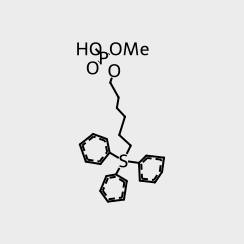 COP(=O)(O)OCCCCCCS(c1ccccc1)(c1ccccc1)c1ccccc1